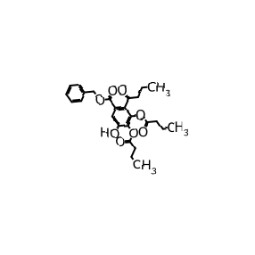 CCCC(=O)Oc1c(O)cc(C(=O)OCc2ccccc2)c(C(=O)CCC)c1OC(=O)CCC